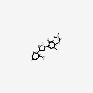 Cc1cc(C2CC(c3ccccc3Cl)=NO2)c(C)cc1/N=C\N(C)C